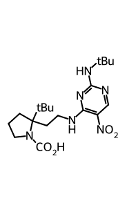 CC(C)(C)Nc1ncc([N+](=O)[O-])c(NCCC2(C(C)(C)C)CCCN2C(=O)O)n1